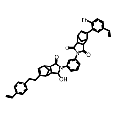 C=Cc1ccc(CCC2=CC3CC2C2C3C(=O)N(c3cccc(N4C(=O)C5C6C=C(c7cc(C=C)ccc7CC)C(C6)C5C4=O)c3)C2O)cc1